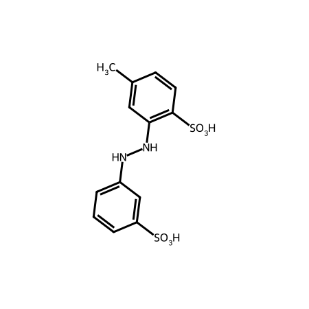 Cc1ccc(S(=O)(=O)O)c(NNc2cccc(S(=O)(=O)O)c2)c1